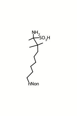 CCCCCCCCCCCCCCCC(C)(C)C(C)(N)S(=O)(=O)O